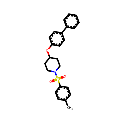 Cc1ccc(S(=O)(=O)N2CCC(Oc3ccc(-c4ccccc4)cc3)CC2)cc1